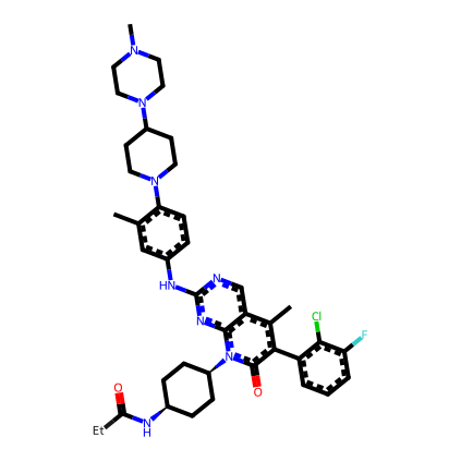 CCC(=O)N[C@H]1CC[C@@H](n2c(=O)c(-c3cccc(F)c3Cl)c(C)c3cnc(Nc4ccc(N5CCC(N6CCN(C)CC6)CC5)c(C)c4)nc32)CC1